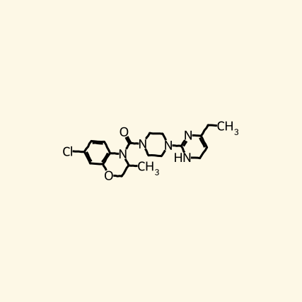 CCC1=CCNC(N2CCN(C(=O)N3c4ccc(Cl)cc4OCC3C)CC2)=N1